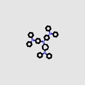 C1=CC(N(c2ccc(N(c3ccccc3)c3ccccc3)cc2)c2ccc(N(c3ccccc3)c3ccccc3)cc2)C=CC(N(c2ccccc2)c2ccccc2)=C1